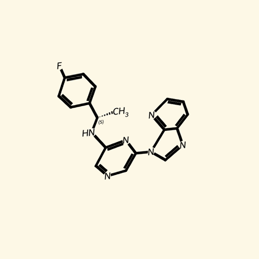 C[C@H](Nc1cncc(-n2cnc3cccnc32)n1)c1ccc(F)cc1